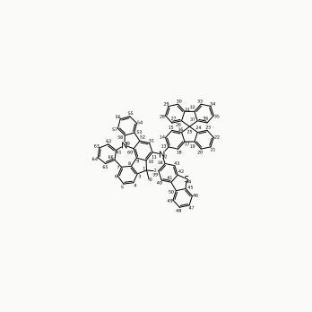 CC1(C)c2cccc3c2-c2c1c(N(c1ccc4c(c1)-c1ccccc1C41c4ccccc4-c4ccccc41)c1ccc4c(c1)sc1ccccc14)cc1c4ccccc4n(c21)-c1ccccc1-3